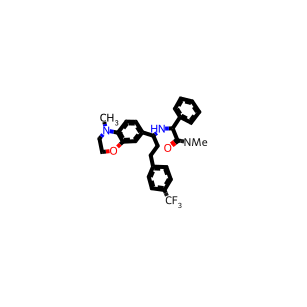 CNC(=O)C(NC(CCc1ccc(C(F)(F)F)cc1)c1ccc2c(c1)OCCN2C)c1ccccc1